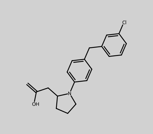 C=C(O)CC1CCCN1c1ccc(Cc2cccc(Cl)c2)cc1